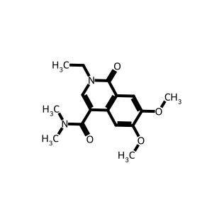 CCn1cc(C(=O)N(C)C)c2cc(OC)c(OC)cc2c1=O